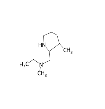 CCN(C)CC1NCCCC1C